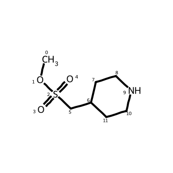 COS(=O)(=O)CC1CCNCC1